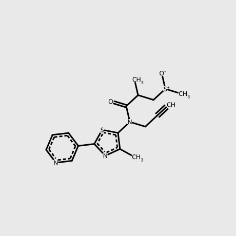 C#CCN(C(=O)C(C)C[S+](C)[O-])c1sc(-c2cccnc2)nc1C